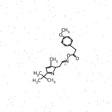 COc1ccc(CC(=O)O/N=C/CC2N=C(C(C)(C)C)C=C2C)cc1